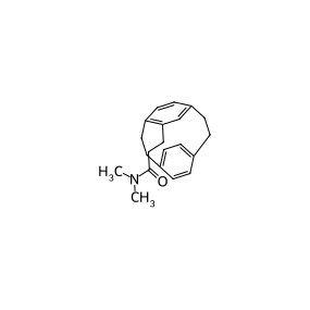 CN(C)C(=O)CCc1cc2ccc1CCc1ccc(cc1)CC2